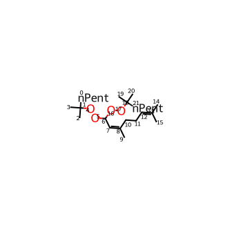 CCCCCC(C)(C)OOC(C=C(C)CCC=C(C)C)OOC(C)(C)CCCCC